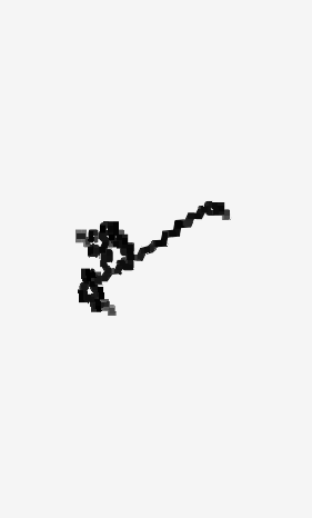 CCCCC=CCCCCCCCC(=O)OCCC(COC(=O)[C@@H](N)C(C)C)Cn1cnc2cnc(N)nc21